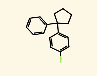 Fc1ccc(C2(c3ccccc3)CCCC2)cc1